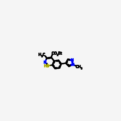 CCOC(=O)C1=C(C)N=[SH]c2ccc(-c3cnn(C)c3)cc21